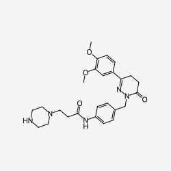 COc1ccc(C2=NN(Cc3ccc(NC(=O)CCN4CCNCC4)cc3)C(=O)CC2)cc1OC